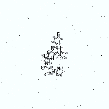 Cc1nn(-c2ncccn2)cc1C(=O)N1C[C@@H]2C(Oc3cc(C4(C)CCCN4)cc(-c4ccc(F)cc4)n3)[C@@H]2C1